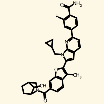 Cc1c(-c2cc3ccc(-c4ccc(C(N)=O)c(F)c4)nc3n2CC2CC2)oc2cc(C(=O)N3CC4CCC3C4C)ccc12